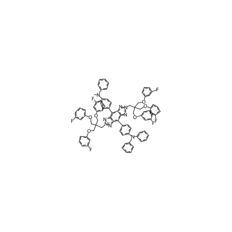 CN(c1ccccc1)c1ccc(-c2c3nn(CC(COc4cccc(F)c4)(COc4cccc(F)c4)COc4cccc(F)c4)nc3c(-c3ccc(N(c4ccccc4)c4ccccc4)cc3)c3n[n+](CC(COc4cccc(F)c4)(COc4cccc(F)c4)COc4cccc(F)c4)[n-]c23)cc1